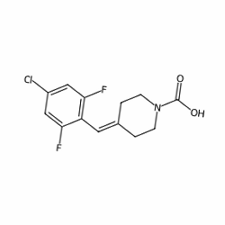 O=C(O)N1CCC(=Cc2c(F)cc(Cl)cc2F)CC1